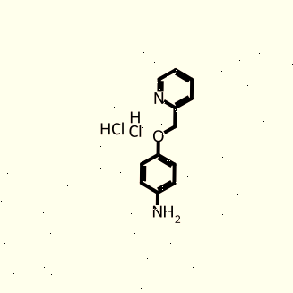 Cl.Cl.Nc1ccc(OCc2ccccn2)cc1